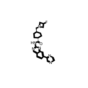 O=C(Nc1ncc2ccc(-c3cnccn3)cc2n1)[C@H]1CC[C@H](CN2CC(F)C2)CC1